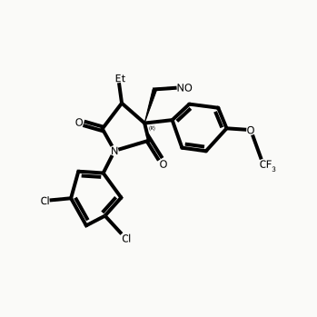 CCC1C(=O)N(c2cc(Cl)cc(Cl)c2)C(=O)[C@@]1(CN=O)c1ccc(OC(F)(F)F)cc1